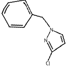 Clc1ccn(Cc2ccccc2)n1